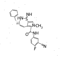 Cn1cc2c(c1C(=O)Nc1ccc(F)c(C#N)c1)C=C[C@H](Cc1ccccc1)NS2=N